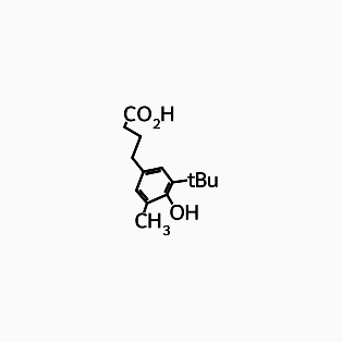 Cc1cc(CCCC(=O)O)cc(C(C)(C)C)c1O